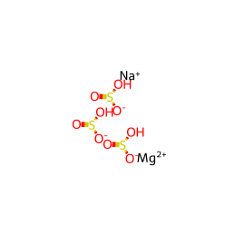 O=S([O-])O.O=S([O-])O.O=S([O-])O.[Mg+2].[Na+]